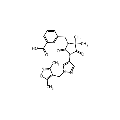 Cc1noc(C)c1Cn1cc(N2C(=O)N(Cc3cccc(C(=O)O)c3)C(C)(C)C2=O)cn1